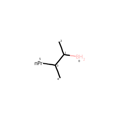 BC(C)C(C)CCC